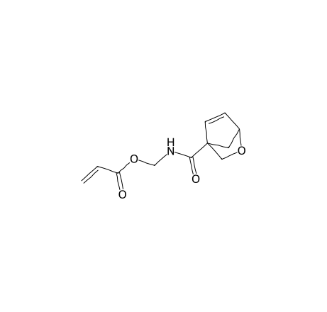 C=CC(=O)OCNC(=O)C12C=CC(C1)OC2